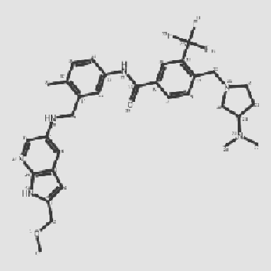 COCc1cc2cc(NCc3cc(NC(=O)c4ccc(CN5CCC(N(C)C)C5)c(C(F)(F)F)c4)ccc3C)cnc2[nH]1